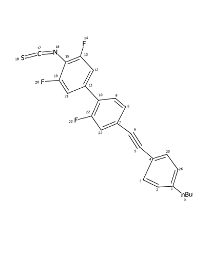 CCCCc1ccc(C#Cc2ccc(-c3cc(F)c(N=C=S)c(F)c3)c(F)c2)cc1